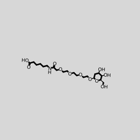 O=C(O)CCCCCNC(=O)COCCOCCOCCO[C@H]1C[C@@H](O)[C@@H](O)[C@@H](CO)O1